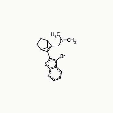 CN(C)CC1=C(c2sc3ccccc3c2Br)C2CCC1C2